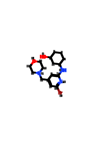 OC1CCCC(Nc2cc(CN3CCOCC3)cc(Br)n2)C1